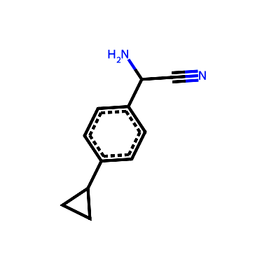 N#CC(N)c1ccc(C2CC2)cc1